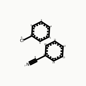 Clc1ccccc1.N#Cc1ccccc1